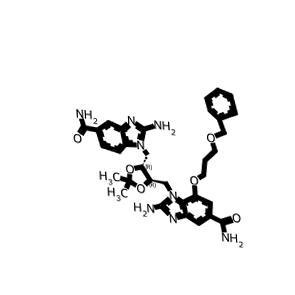 CC1(C)O[C@H](Cn2c(N)nc3cc(C(N)=O)ccc32)[C@@H](Cn2c(N)nc3cc(C(N)=O)cc(OCCCOCc4ccccc4)c32)O1